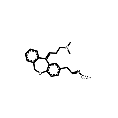 CON=CCc1ccc2c(c1)C(=CCCN(C)C)c1ccccc1CO2